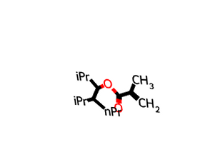 C=C(C)C(=O)OC(C(C)C)C(CCC)C(C)C